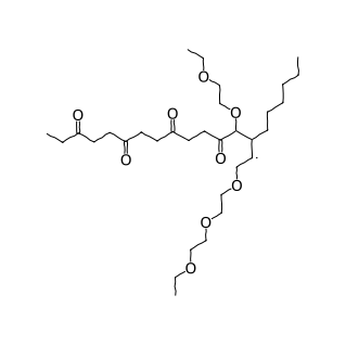 CCCCCCC([CH]COCCOCCOCC)C(OCCOCC)C(=O)CCC(=O)CCC(=O)CCC(=O)CC